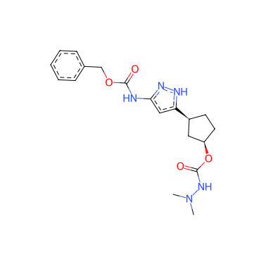 CN(C)NC(=O)O[C@@H]1CC[C@H](c2cc(NC(=O)OCc3ccccc3)n[nH]2)C1